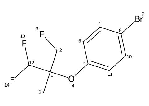 CC(CF)(Oc1ccc(Br)cc1)C(F)F